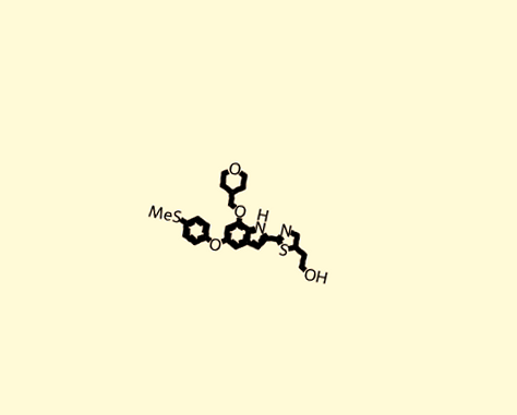 CSc1ccc(Oc2cc(OCC3CCOCC3)c3[nH]c(C4=NCC(CCO)S4)cc3c2)cc1